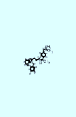 C[C@H](NC(=O)CCc1nc2cccnc2n1Cc1ccc(F)c(F)c1)c1ccc(CN(C)C)cc1